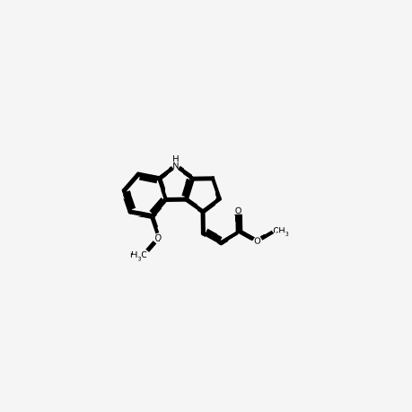 COC(=O)/C=C\C1CCc2[nH]c3cccc(OC)c3c21